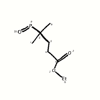 CCOC(=O)CCC(C)(C)P=O